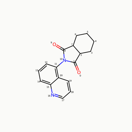 O=C1C2CCCCC2C(=O)N1c1cccc2ncccc12